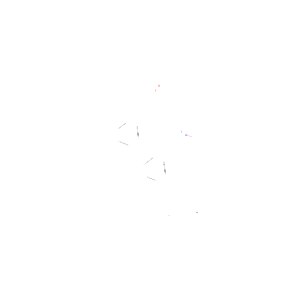 O=NC[C@H]1O[C@@H](c2ccc(Cl)c(Cc3ccc(O[C@@H]4C[C@@H]5C[C@@H]5C4)cc3)c2)[C@H](O)[C@@H](O)[C@@H]1O